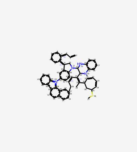 C=C/C=c1/cccc/c1=C1/CN(C2Nc3ccccc3N(C)C2C(/C=C\CC)=C(/C)C2C=CC=CC(SC)C2)c2ccc(-n3c4ccccc4c4ccc5ccccc5c43)cc21